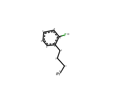 CC(C)CCCc1ccccc1F